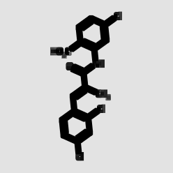 C/C(=C\c1ccc(Cl)cc1Cl)C(=O)Nc1cc(Cl)ccc1C(=O)O